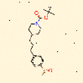 C[S+]([O-])c1ccc(CCCC2CCN(C(=O)OC(C)(C)C)CC2)cc1